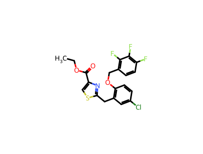 CCOC(=O)c1csc(Cc2cc(Cl)ccc2OCc2ccc(F)c(F)c2F)n1